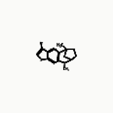 CC1c2cc3scc(Br)c3cc2C2(C)CCC1C2